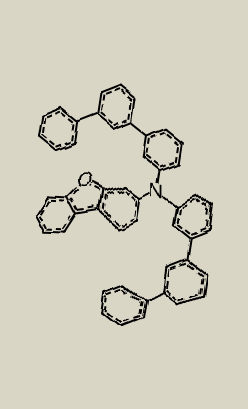 c1ccc(-c2cccc(-c3cccc(N(c4cccc(-c5cccc(-c6ccccc6)c5)c4)c4ccc5c(c4)oc4ccccc45)c3)c2)cc1